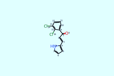 O=C(C=Cc1ccc[nH]1)c1cccc(Cl)c1Cl